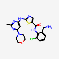 Cc1nc(Nc2ncc(C(=O)Nc3c(Cl)cccc3CN)s2)cc(N2CCOCC2)n1